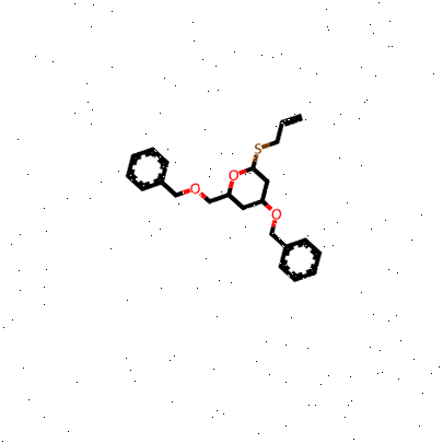 C=CCSC1CC(OCc2ccccc2)CC(COCc2ccccc2)O1